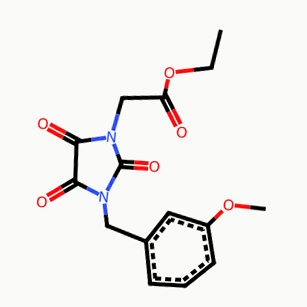 CCOC(=O)CN1C(=O)C(=O)N(Cc2cccc(OC)c2)C1=O